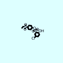 CCS(=O)(=O)c1ccc(OS(=O)(=O)c2cc(Cl)ccc2O)cc1